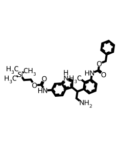 Cc1c(NC(=O)OCc2ccccc2)cccc1C(CN)c1c[nH]c2cc(NC(=O)OCC[Si](C)(C)C)ccc12